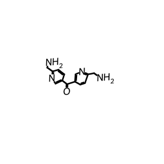 NCc1ccc(C(=O)c2ccc(CN)nc2)cn1